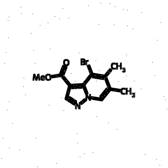 COC(=O)c1cnn2cc(C)c(C)c(Br)c12